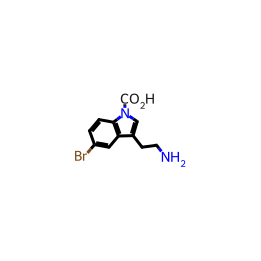 NCCc1cn(C(=O)O)c2ccc(Br)cc12